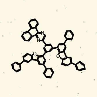 c1ccc(-c2ccc3oc4c(-c5cc(-c6cnc7c8ccccc8c8ccccc8c7n6)cc(-c6cc(-c7ccccc7)cc7c6oc6ccc(-c8ccccc8)cc67)c5)cc(-c5ccccc5)cc4c3c2)cc1